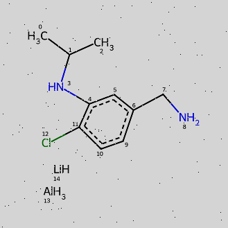 CC(C)Nc1cc(CN)ccc1Cl.[AlH3].[LiH]